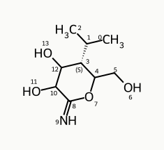 CC(C)[C@@H]1C(CO)OC(=N)C(O)C1O